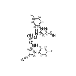 Cc1ccc(-n2nc(C#N)cc2NO[PH](=O)ONc2cc(C#N)nn2-c2ccc(C)cc2)cc1